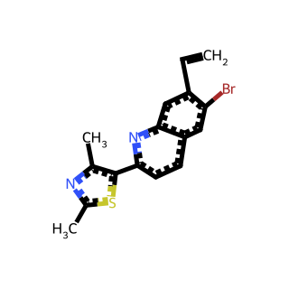 C=Cc1cc2nc(-c3sc(C)nc3C)ccc2cc1Br